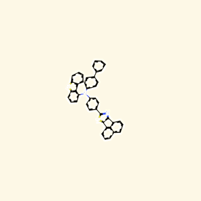 c1ccc(-c2ccc(N(c3ccc(-c4nc5c(s4)-c4cccc6cccc-5c46)cc3)c3cccc4sc5ccccc5c34)cc2)cc1